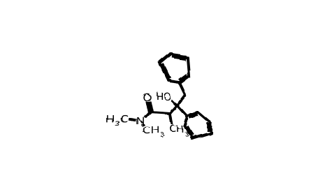 CC(C(=O)N(C)C)C(O)(Cc1ccccc1)c1ccccc1